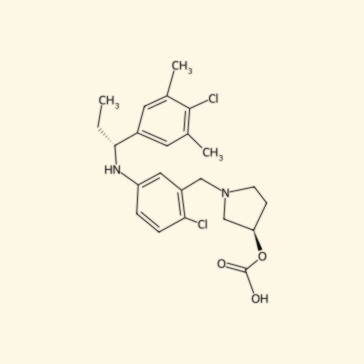 CC[C@@H](Nc1ccc(Cl)c(CN2CC[C@@H](OC(=O)O)C2)c1)c1cc(C)c(Cl)c(C)c1